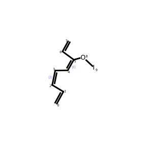 C=C/C=C\C=C(/C=C)OI